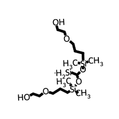 C[Si](C)(CCCOCCO)OC([SiH2])O[Si](C)(C)CCCOCCO